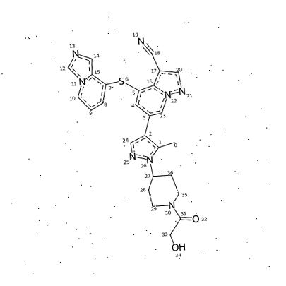 Cc1c(-c2cc(Sc3cccn4cncc34)c3c(C#N)cnn3c2)cnn1C1CCN(C(=O)CO)CC1